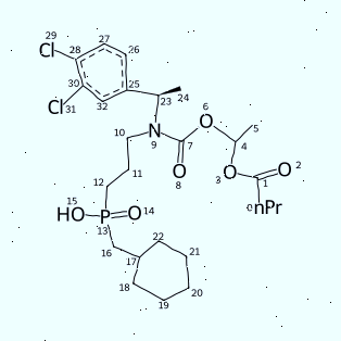 CCCC(=O)OC(C)OC(=O)N(CCCP(=O)(O)CC1CCCCC1)[C@H](C)c1ccc(Cl)c(Cl)c1